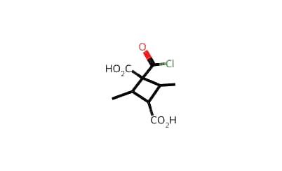 CC1C(C(=O)O)C(C)C1(C(=O)O)C(=O)Cl